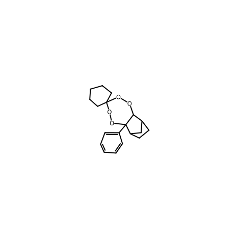 c1ccc(C23OOC4(CCCCC4)OOC2C2CCC3C2)cc1